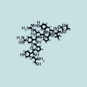 CC(C)C[C@H](NC(=O)C(NC(=O)[C@H](Cc1ccc(O)cc1)NC(=O)C1CCCN1C(=O)[C@H](CCCNC(=N)N)NC(=O)C(NC(=O)C1CCCN1C(=O)C(NC(=O)C(N)CS)C1CCNCC1)C1CCN(C(=N)N)CC1)C(C)(C)C)C(=O)O